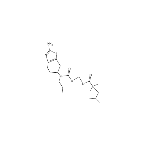 CCCN(C(=O)OCOC(=O)C(C)(C)CC(C)C)C1CCc2nc(N)sc2C1